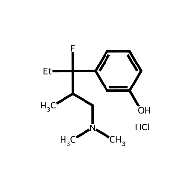 CCC(F)(c1cccc(O)c1)C(C)CN(C)C.Cl